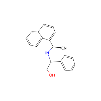 N#C[C@@H](NC(CO)c1ccccc1)c1cccc2ccccc12